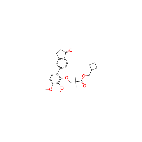 COc1ccc(-c2ccc3c(c2)CCC3=O)c(OCC(C)(C)C(=O)OCC2CCC2)c1OC